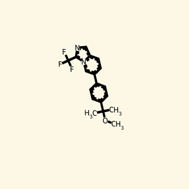 COC(C)(C)c1ccc(-c2ccc3cnc(C(F)(F)F)n3c2)cc1